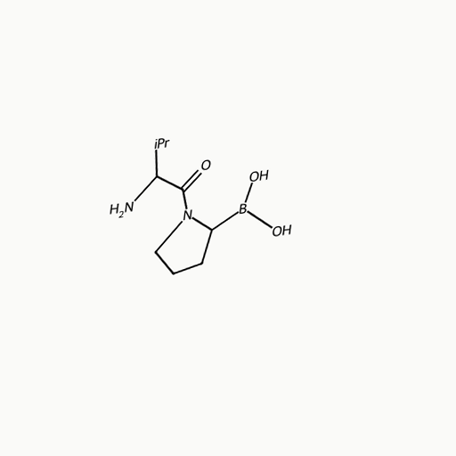 CC(C)C(N)C(=O)N1CCCC1B(O)O